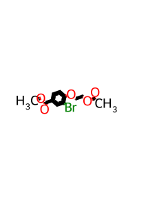 COC(=O)c1ccc(OCCOC(C)=O)c(Br)c1